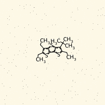 CCc1sc2c(sc3c(C(C)(C)C)c(CC)sc32)c1CC